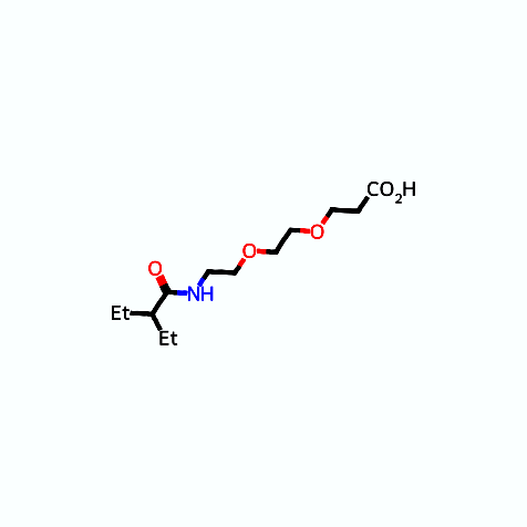 CCC(CC)C(=O)NCCOCCOCCC(=O)O